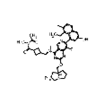 CCc1c(F)ccc2cc(O)cc(-c3ncc4c(NCC5CC(C(=O)N(C)C(C)=O)C5)nc(OC[C@@]56CCCN5C[C@H](F)C6)nc4c3F)c12